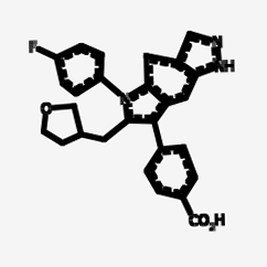 O=C(O)c1ccc(-c2c(CC3CCOC3)n(-c3ccc(F)cc3)c3cc4cn[nH]c4cc23)cc1